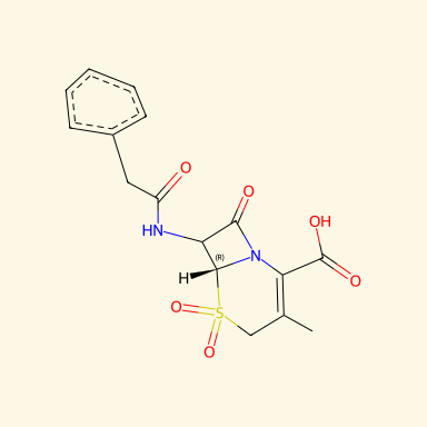 CC1=C(C(=O)O)N2C(=O)C(NC(=O)Cc3ccccc3)[C@H]2S(=O)(=O)C1